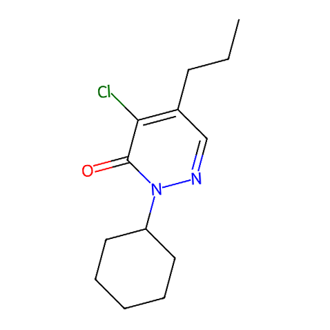 CCCc1cnn(C2CCCCC2)c(=O)c1Cl